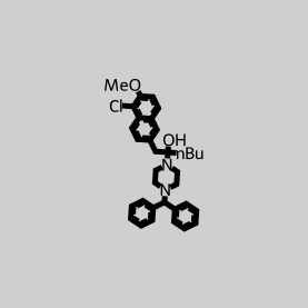 CCCCC(O)(Cc1ccc2c(Cl)c(OC)ccc2c1)N1CCN(C(c2ccccc2)c2ccccc2)CC1